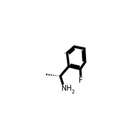 C[C@@H](N)c1[c]cccc1F